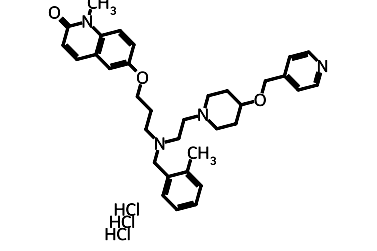 Cc1ccccc1CN(CCCOc1ccc2c(ccc(=O)n2C)c1)CCN1CCC(OCc2ccncc2)CC1.Cl.Cl.Cl